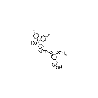 COc1cc(CC(=O)O)ccc1OCCCN1CCC(C(O)(c2ccc(F)cc2)c2ccc(F)cc2)CC1.[NaH]